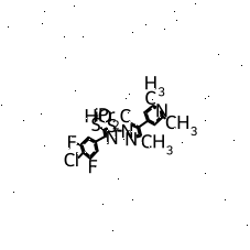 Cc1cc(-c2c(C)nn(-c3nc(-c4cc(F)c(Cl)c(F)c4)c(SC(C)C)s3)c2C(=O)O)cc(C)n1